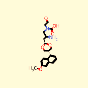 COc1ccc2c(cccc2[C@H]2CO[C@H](CC(N)CN(CC=O)C(=O)O)OC2)c1